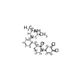 CC1CN(c2ccccc2/C=C2\SCCN(c3ccc(Cl)c(Cl)c3)C2=O)CC(C)N1